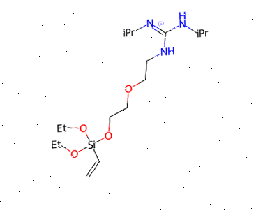 C=C[Si](OCC)(OCC)OCCOCCN/C(=N\C(C)C)NC(C)C